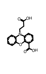 O=C(O)CCN1c2ccccc2Oc2c(C(=O)O)cccc21